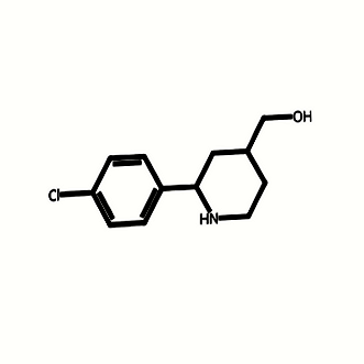 OCC1CCNC(c2ccc(Cl)cc2)C1